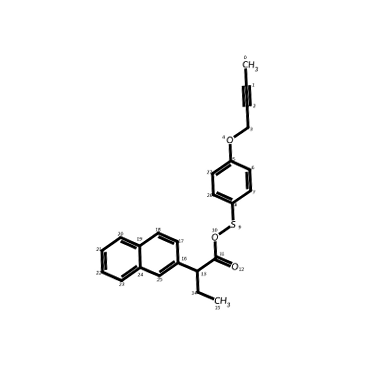 CC#CCOc1ccc(SOC(=O)C(CC)c2ccc3ccccc3c2)cc1